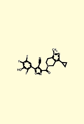 Cn1nc(C2CC2)c2c1CCN(C(=O)c1noc(-c3cc(F)c(F)c(O)c3F)c1C#N)C2